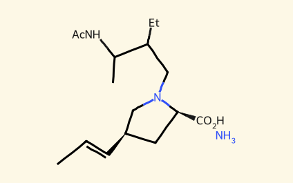 CC=C[C@@H]1C[C@H](C(=O)O)N(CC(CC)C(C)NC(C)=O)C1.N